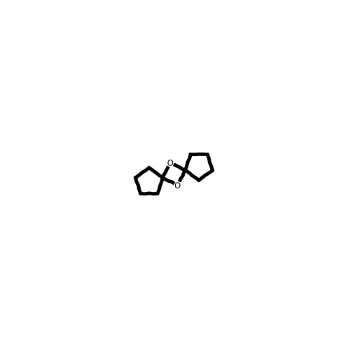 C1CCC2(C1)OC1(CCCC1)O2